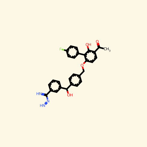 CC(=O)c1ccc(OCc2ccc(C(O)c3cccc(C(=N)N=N)c3)cc2)c(-c2ccc(F)cc2)c1O